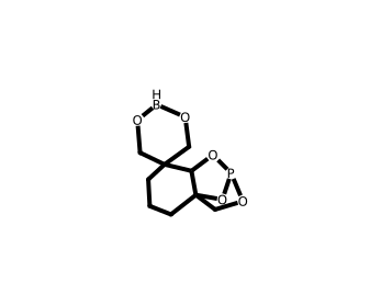 B1OCC2(CCCC34COP(OC23)O4)CO1